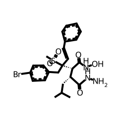 CC(C)C[C@@H](C(=O)NN)[C@@H](C(=O)NO)C(/C=C/c1ccccc1)(Cc1ccc(Br)cc1)S(C)(=O)=O